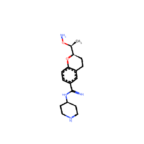 C[C@H](ON)[C@H]1CCc2cc(C(=N)NC3CCNCC3)ccc2O1